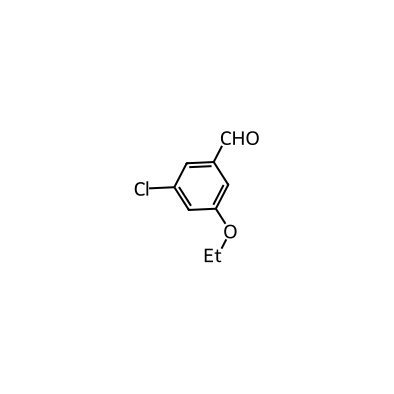 CCOc1cc(Cl)cc(C=O)c1